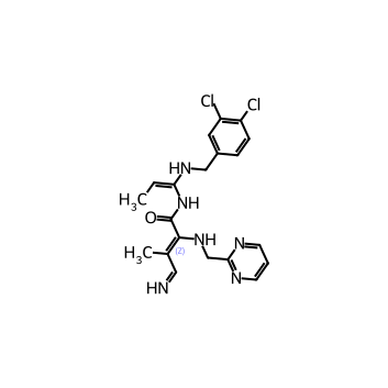 CC=C(NCc1ccc(Cl)c(Cl)c1)NC(=O)/C(NCc1ncccn1)=C(\C)C=N